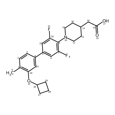 Cc1ccc(-c2cc(F)c(N3CCC(CC(=O)O)CC3)c(F)c2)cc1OC1CCC1